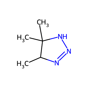 CC1N=NNC1(C)C